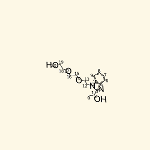 CC(O)c1nc2ccccc2n1CCOCCOCCO